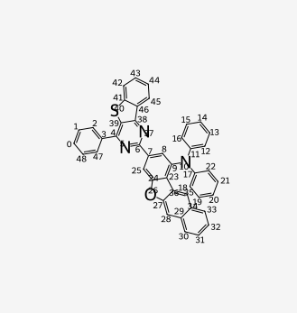 c1ccc(-c2nc(-c3cc(N(c4ccccc4)c4ccccc4)c4c(c3)oc3cc5ccccc5cc34)nc3c2sc2ccccc23)cc1